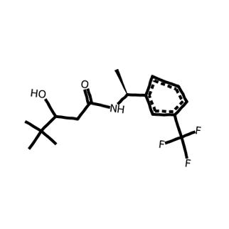 C[C@H](NC(=O)CC(O)C(C)(C)C)c1cccc(C(F)(F)F)c1